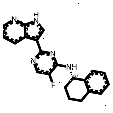 Fc1cnc(-c2c[nH]c3ncccc23)nc1N[C@H]1CCCc2ccccc21